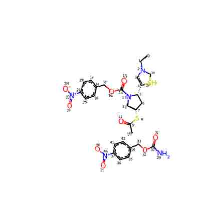 CCN1C=C([C@@H]2C[C@H](SC(C)=O)CN2C(=O)OCc2ccc([N+](=O)[O-])cc2)[SH]C1.NC(=O)OCc1ccc([N+](=O)[O-])cc1